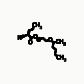 CCC=C(C#N)C(=O)OOCCOC(C)CCCC